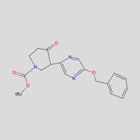 CC(C)(C)OC(=O)N1CCC(=O)C(c2cnc(OCc3ccccc3)cn2)C1